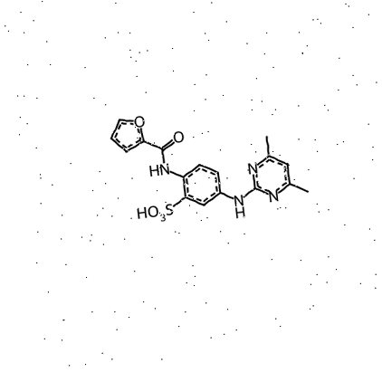 Cc1cc(C)nc(Nc2ccc(NC(=O)c3ccco3)c(S(=O)(=O)O)c2)n1